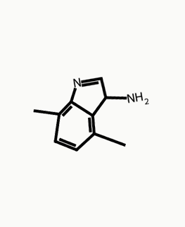 Cc1ccc(C)c2c1N=CC2N